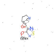 CCCCCCOc1nsnc1C1(O)CN2CCC1CC2